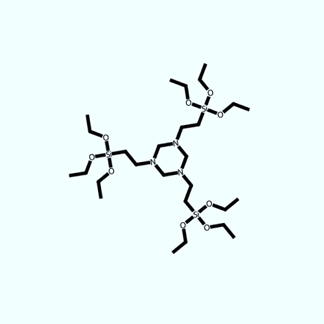 CCO[Si](CCN1CN(CC[Si](OCC)(OCC)OCC)CN(CC[Si](OCC)(OCC)OCC)C1)(OCC)OCC